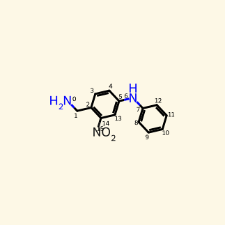 NCc1ccc(Nc2ccccc2)cc1[N+](=O)[O-]